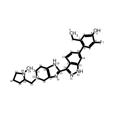 CCc1cc(O)c(F)cc1-c1ccc2c(-c3nc4c([nH]3)CCN(CC3CCCN3C)C4)n[nH]c2c1